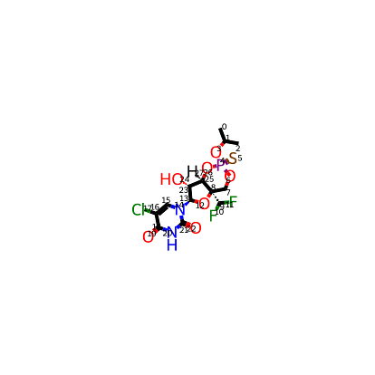 CC(C)OP1(=S)OC[C@@]2(C(F)F)O[C@@H](n3cc(Cl)c(=O)[nH]c3=O)[C@H](O)[C@H]2O1